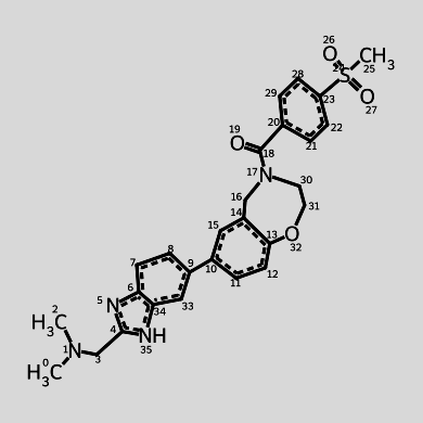 CN(C)Cc1nc2ccc(-c3ccc4c(c3)CN(C(=O)c3ccc(S(C)(=O)=O)cc3)CCO4)cc2[nH]1